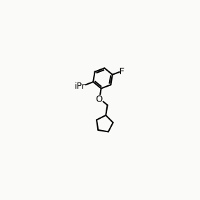 CC(C)c1ccc(F)cc1OCC1CCCC1